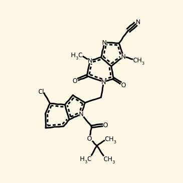 Cn1c(C#N)nc2c1c(=O)n(Cc1cc3c(Cl)cccc3n1C(=O)OC(C)(C)C)c(=O)n2C